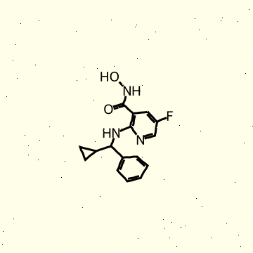 O=C(NO)c1cc(F)cnc1NC(c1ccccc1)C1CC1